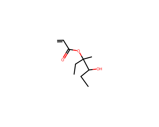 C=CC(=O)OC(C)(CC)C(O)CC